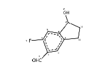 O=Cc1cc2c(cc1F)C(O)CC2